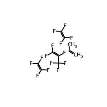 C=CC.FC(F)=C(F)C(F)(F)F.FC(F)=C(F)F.FC(F)=C(F)F